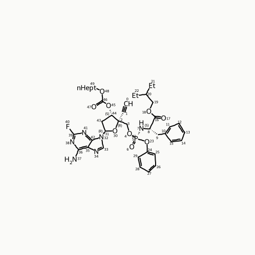 C#C[C@]1(CO[P@@](=O)(N[C@@H](Cc2ccccc2)C(=O)OCC(CC)CC)Oc2ccccc2)O[C@@H](n2cnc3c(N)nc(F)nc32)C[C@@H]1OC(=O)OCCCCCCC